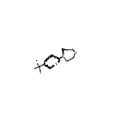 FC(F)(F)c1ccc(N2CCOCC2)nc1